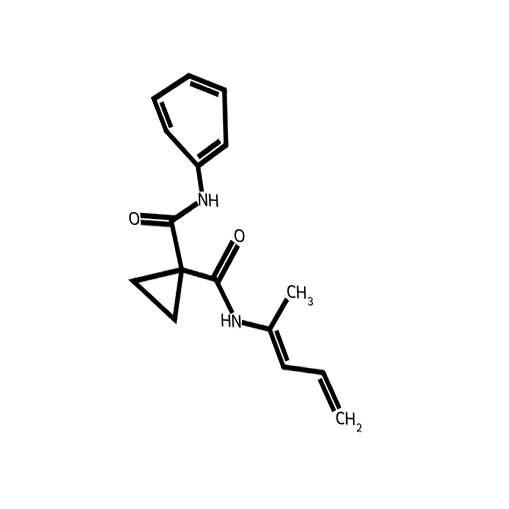 C=C/C=C(\C)NC(=O)C1(C(=O)Nc2ccccc2)CC1